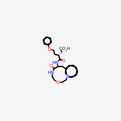 O=C(O)C[C@@H](CCOc1ccccc1)C(=O)NC1Cc2ccccccn(c2)CCOCCNC1=O